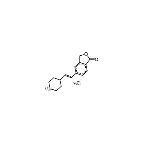 Cl.O=C1OCc2cc(C=CC3CCNCC3)ccc21